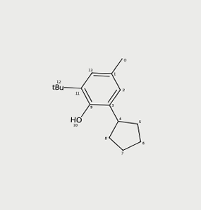 Cc1cc(C2CCCC2)c(O)c(C(C)(C)C)c1